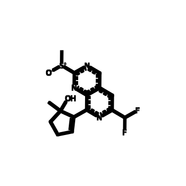 C[S+]([O-])c1ncc2cc(C(F)F)nc(C3=CCCC3(C)O)c2n1